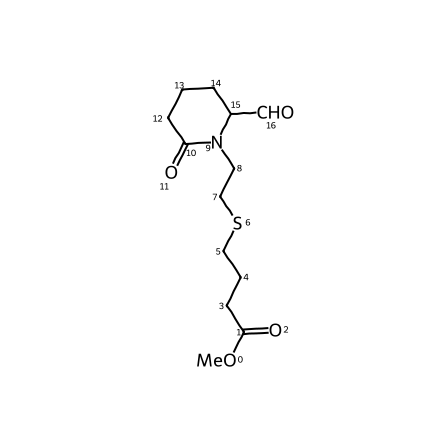 COC(=O)CCCSCCN1C(=O)CCCC1C=O